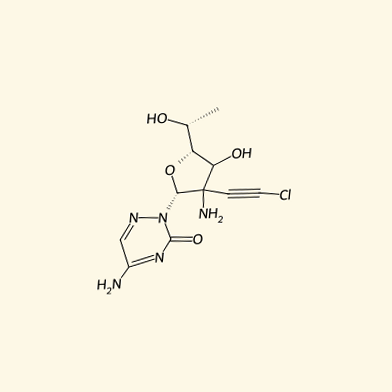 C[C@@H](O)[C@H]1O[C@@H](n2ncc(N)nc2=O)C(N)(C#CCl)C1O